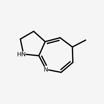 CC1C=CN=C2NCCC2=C1